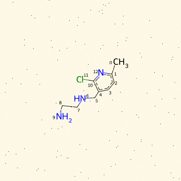 Cc1ccc(CNCCN)c(Cl)n1